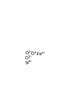 [Fe+2].[O-2].[O-2].[O-2].[Si+4]